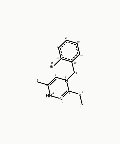 CSC1=NNC(C)=CN1Cc1ccccc1Br